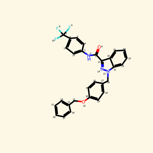 O=C(Nc1ccc(C(F)(F)F)cc1)c1nn(Cc2ccc(OCc3ccccc3)cc2)c2ccccc12